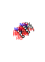 CN(C)[C@@H]1C(O)=C(C(N)=O)C(=O)[C@@]2(O)C(O)=C3C(=O)c4c(O)cccc4[C@@](C)(O)[C@H]3C[C@@H]12.CN(C)[C@@H]1C(O)=C(C(N)=O)C(=O)[C@@]2(O)C(O)=C3C(=O)c4c(O)cccc4[C@@](C)(O)[C@H]3C[C@@H]12